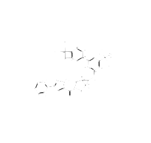 Cn1nc(-c2ncccn2)cc1C(=O)N1C[C@@H]2C(Oc3cc(C(C)(C)N)cc(-c4ccc5c(c4)CC5(F)F)n3)[C@@H]2C1